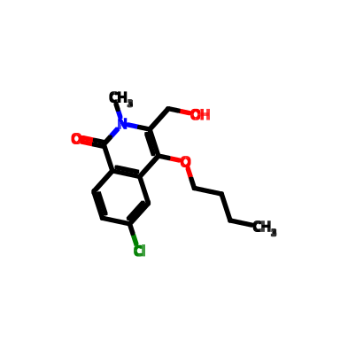 CCCCOc1c(CO)n(C)c(=O)c2ccc(Cl)cc12